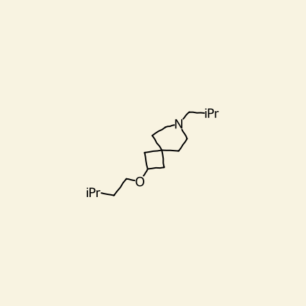 CC(C)CCOC1CC2(CCN(CC(C)C)CC2)C1